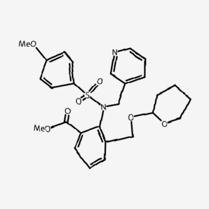 COC(=O)c1cccc(COC2CCCCO2)c1N(Cc1cccnc1)S(=O)(=O)c1ccc(OC)cc1